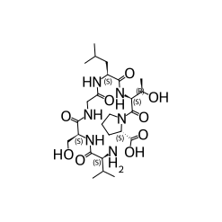 CC(C)C[C@H](NC(=O)CNC(=O)[C@H](CO)NC(=O)[C@@H](N)C(C)C)C(=O)N[C@H](C(=O)N1CCC[C@H]1C(=O)O)[C@@H](C)O